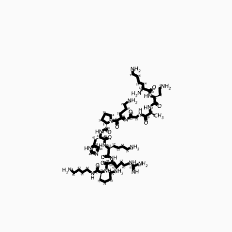 C[C@H](NC(=O)[C@H](CCN)NC(=O)[C@@H](N)CCCCN)C(=O)NCC(=O)/N=C(\CCCN)C(=O)N1CCC[C@H]1C(=O)N[C@@H](Cc1cnc[nH]1)C(=O)N[C@@H](CCCCN)C(=O)N/C(=C\CCNC(=N)N)C(=O)N[C@@H](CCCCN)C(=O)NCCCCN